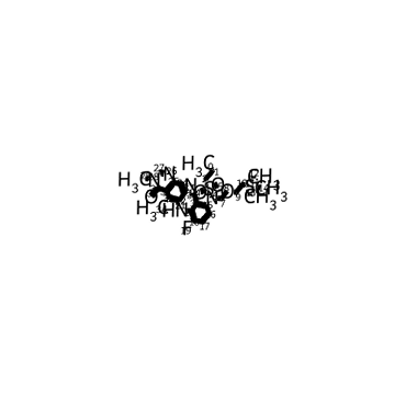 CCCS(=O)(=O)N(COCC[Si](C)(C)C)c1ccc(F)c(Nc2ccc3ncn(C)c(=O)c3c2C)c1C#N